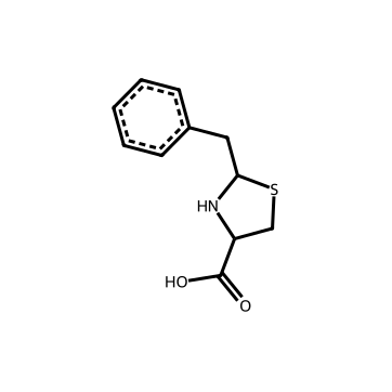 O=C(O)C1CSC(Cc2ccccc2)N1